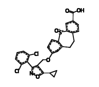 O=C(O)c1ccc2c(c1)[S+]([O-])c1ccc(OCc3c(-c4c(Cl)cccc4Cl)noc3C3CC3)cc1CC2